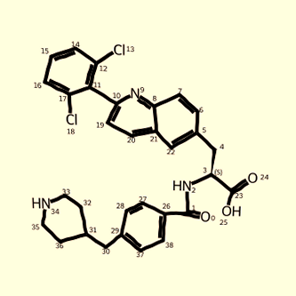 O=C(N[C@@H](Cc1ccc2nc(-c3c(Cl)cccc3Cl)ccc2c1)C(=O)O)c1ccc(CC2CCNCC2)cc1